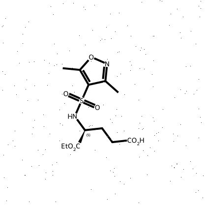 CCOC(=O)[C@H](CCC(=O)O)NS(=O)(=O)c1c(C)noc1C